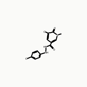 Cn1cc(C(=O)NNc2ccc(Cl)cc2)cc(Cl)c1=O